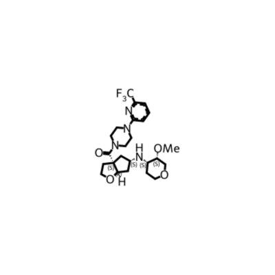 CO[C@@H]1COCC[C@@H]1N[C@@H]1C[C@H]2OCC[C@@]2(C(=O)N2CCN(c3cccc(C(F)(F)F)n3)CC2)C1